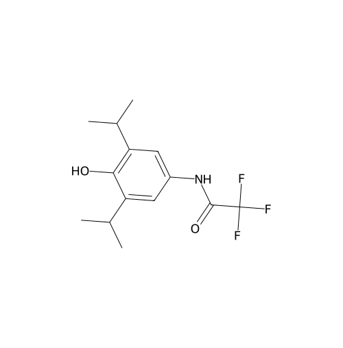 CC(C)c1cc(NC(=O)C(F)(F)F)cc(C(C)C)c1O